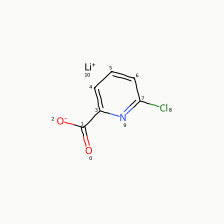 O=C([O-])c1cccc(Cl)n1.[Li+]